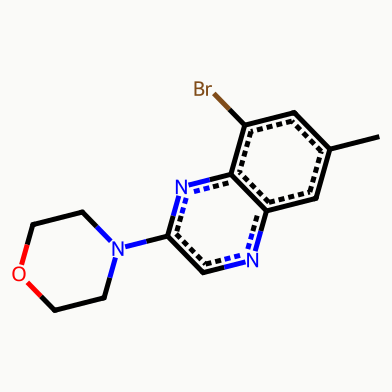 Cc1cc(Br)c2nc(N3CCOCC3)cnc2c1